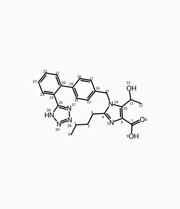 CCCCc1nc(C(=O)O)c(C(C)O)n1Cc1ccc(-c2ccccc2-c2nnn[nH]2)cc1